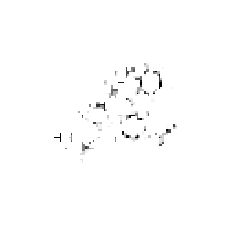 CN(C)Cc1nnc(CO)n1-c1ccc([N+](=O)[O-])cc1C(=O)c1ccccc1Cl